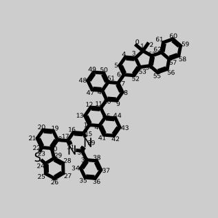 CC1(C)c2ccc(-c3ccc(-c4ccc(-c5cc(-c6cccc7sc8ccccc8c67)nc(-c6ccccc6)n5)c5ccccc45)c4ccccc34)cc2-c2ccc3ccccc3c21